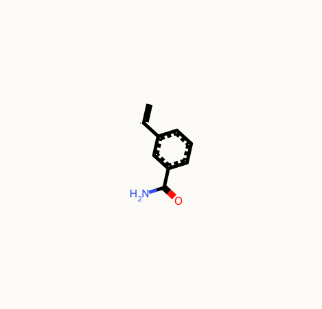 C=[C]c1cccc(C(N)=O)c1